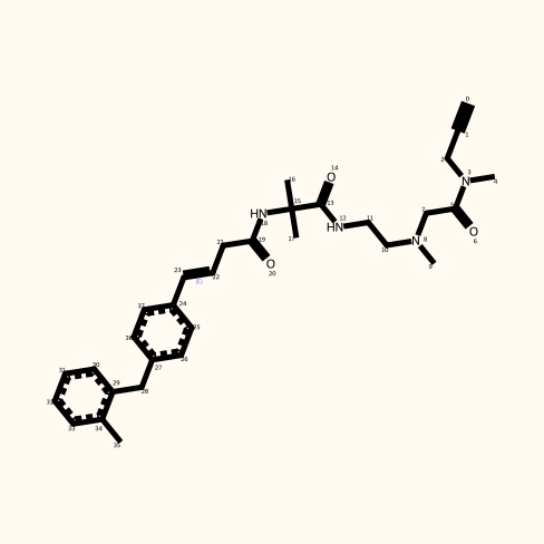 C#CCN(C)C(=O)CN(C)CCNC(=O)C(C)(C)NC(=O)C/C=C/c1ccc(Cc2ccccc2C)cc1